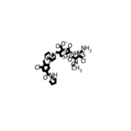 CO/N=C(\C(=O)N[C@@H]1C(=O)N2C(C(=O)[O-])=C(C[n+]3ccc4n3CCN4Cc3c(F)cc(C(=O)NN4CCCC4)cc3Cl)CS[C@H]12)c1nc(N)sc1Cl